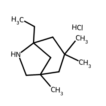 CCC12CC(C)(C)CC(C)(CN1)C2.Cl